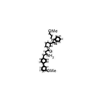 COCCCn1c(C2CCCN(C(=O)CC(N)Cc3ccc(-c4cccc(OC)c4)cc3)C2)nc2ccccc21